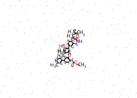 CCOC(=O)Cc1ccc(-c2ccnc(C)c2)cc1O/C(=C/C(=C(\C)O)c1cccc(CNC(=O)OC(C)(C)C)c1)C(C)C